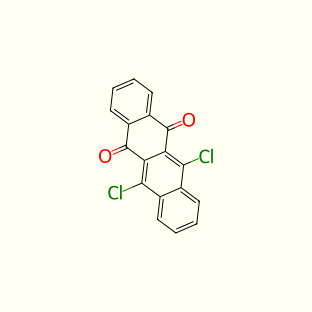 O=C1c2ccccc2C(=O)c2c1c(Cl)c1ccccc1c2Cl